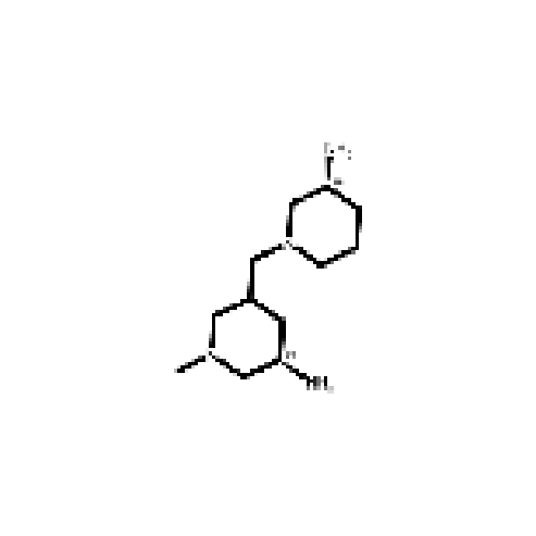 CN1CC(CN2CCC[C@H](N)C2)C[C@@H](N)C1